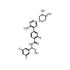 Nc1ncc([C@H]2CC[C@H](O)[C@@H](O)C2)nc1-c1ccc(C(=O)NC(CO)c2cc(F)cc(I)c2)c(F)c1